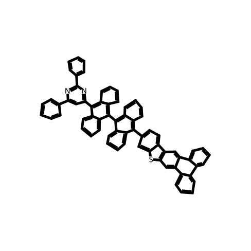 c1ccc(-c2cc(-c3c4ccccc4c(-c4c5ccccc5c(-c5ccc6c(c5)sc5cc7c8ccccc8c8ccccc8c7cc56)c5ccccc45)c4ccccc34)nc(-c3ccccc3)n2)cc1